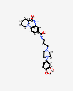 O=C(NCCCN1CCN(c2ccc3c(c2)OCO3)CC1)c1ccc2c(c1)NC(=O)C1CCCCN21